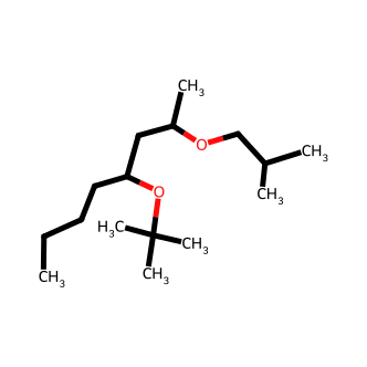 CCCC[C](CC(C)OCC(C)C)OC(C)(C)C